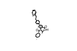 CC(C)N(c1nn(-c2ccc(CCc3ccccn3)cc2)cc1C(=O)O)C(=O)[C@H]1CC[C@H](C)CC1